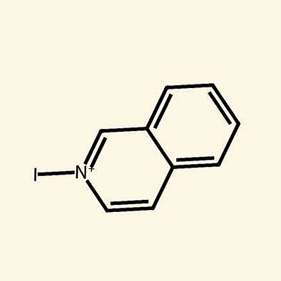 I[n+]1ccc2ccccc2c1